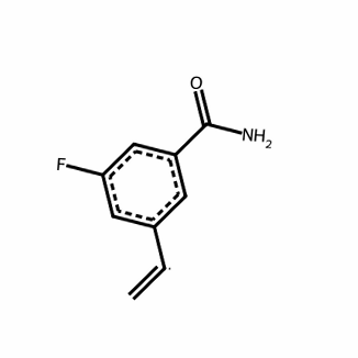 C=[C]c1cc(F)cc(C(N)=O)c1